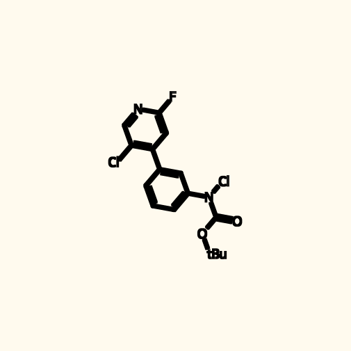 CC(C)(C)OC(=O)N(Cl)c1cccc(-c2cc(F)ncc2Cl)c1